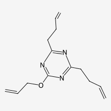 C=CCCc1nc(CCC=C)nc(OCC=C)n1